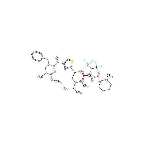 COC(=O)C(C)CC(Cc1ccccc1)NC(=O)c1csc(C(CC(C(C)C)N(C)C(=O)C(NC(=O)[C@H]2CCCCN2C)C(C(F)(F)F)C(F)(F)F)OC(C)=O)n1